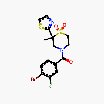 CC1(c2nccs2)CN(C(=O)c2ccc(Br)c(Cl)c2)CCS1(=O)=O